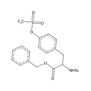 CC(=O)NC(Cc1ccc(OS(=O)(=O)C(F)(F)F)cc1)C(=O)OCc1ccccc1